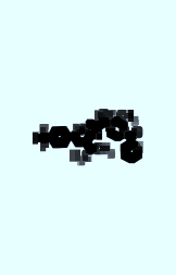 CC(C)c1cc(-c2ccc(C(F)(F)F)cc2)nn2cc(C(=O)N3CCN(C(=O)c4ccccn4)CC3(C)C)nc12